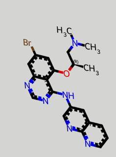 C[C@H](CN(C)C)Oc1cc(Br)cc2ncnc(Nc3cnc4ncccc4c3)c12